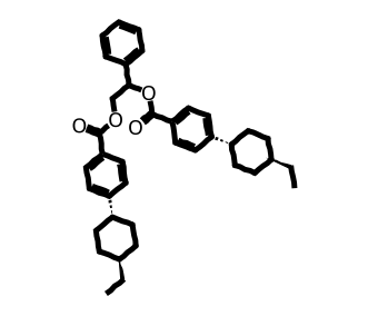 CC[C@H]1CC[C@H](c2ccc(C(=O)OCC(OC(=O)c3ccc([C@H]4CC[C@H](CC)CC4)cc3)c3ccccc3)cc2)CC1